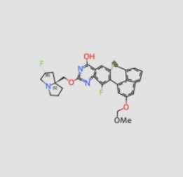 C#Cc1cccc2cc(OCOC)cc(-c3c(F)cc4c(O)nc(OC[C@@]56CCCN5C[C@H](F)C6)nc4c3F)c12